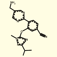 CC(C)c1nc(Oc2cc(C#N)ccc2-c2ncc(CN)cn2)n(C)n1